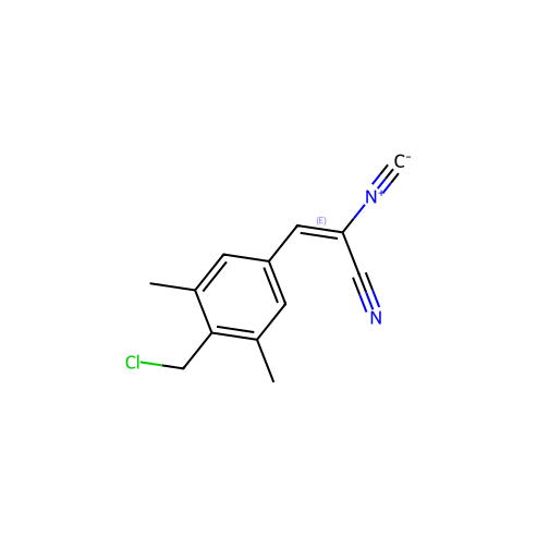 [C-]#[N+]/C(C#N)=C/c1cc(C)c(CCl)c(C)c1